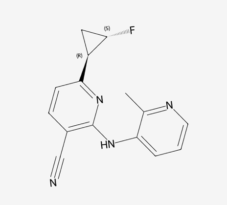 Cc1ncccc1Nc1nc([C@H]2C[C@@H]2F)ccc1C#N